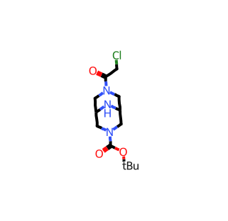 CC(C)(C)OC(=O)N1CC2CN(C(=O)CCl)CC(C1)N2